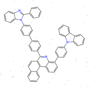 c1ccc(-c2nc3ccccc3n2-c2ccc(-c3ccc(-c4nc5c(-c6ccc(-n7c8ccccc8c8ccccc87)cc6)cccc5c5c4ccc4ccccc45)cc3)cc2)cc1